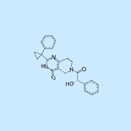 O=C([C@@H](O)c1ccccc1)N1CCc2nc(C3(c4ccccc4)CC3)[nH]c(=O)c2C1